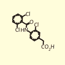 O=C(O)Cc1ccc(NC(=O)c2c(Cl)cccc2Cl)c(Cl)c1